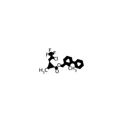 Cc1c(COC(=O)[C@H]2C(C)[C@H]2CC(Cl)C(F)(F)F)cccc1-c1ccccc1